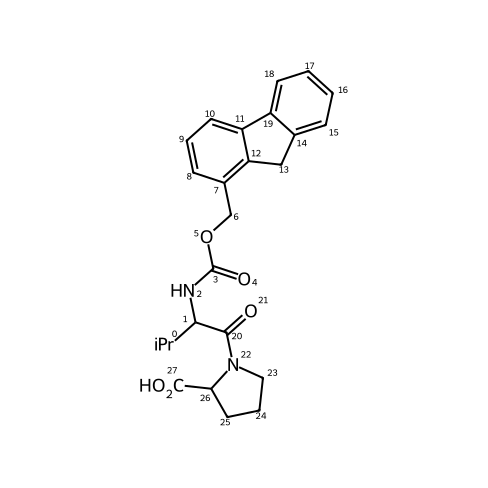 CC(C)C(NC(=O)OCc1cccc2c1Cc1ccccc1-2)C(=O)N1CCCC1C(=O)O